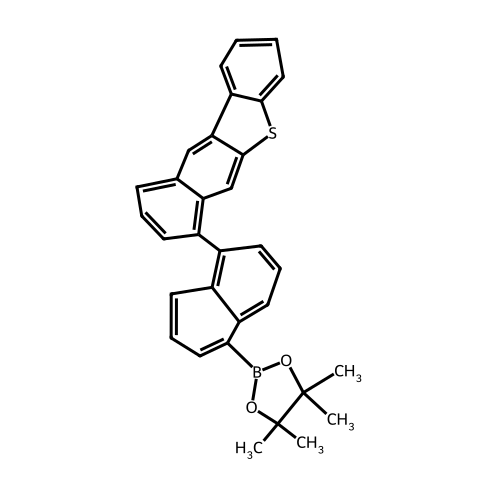 CC1(C)OB(c2cccc3c(-c4cccc5cc6c(cc45)sc4ccccc46)cccc23)OC1(C)C